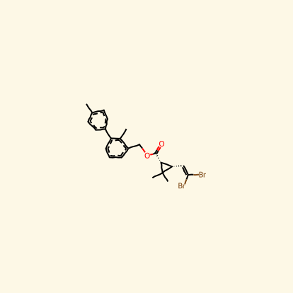 Cc1ccc(-c2cccc(COC(=O)[C@@H]3[C@H](C=C(Br)Br)C3(C)C)c2C)cc1